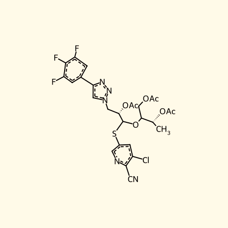 CC(=O)OCC(OC(Sc1cnc(C#N)c(Cl)c1)[C@H](Cn1cc(-c2cc(F)c(F)c(F)c2)nn1)OC(C)=O)[C@@H](C)OC(C)=O